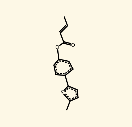 C/C=C/C(=O)Oc1ccc(-c2ccc(C)s2)cc1